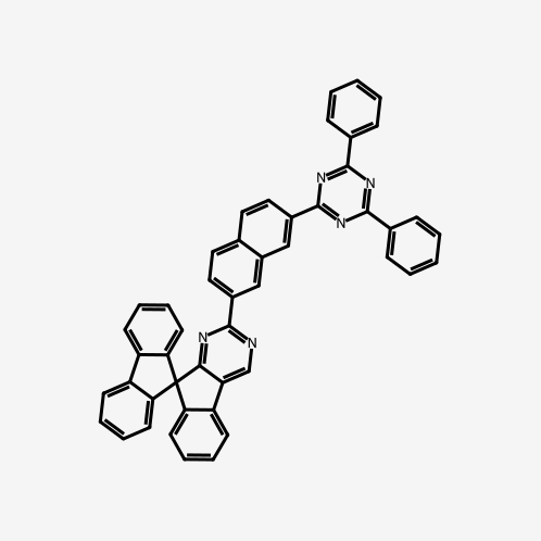 c1ccc(-c2nc(-c3ccccc3)nc(-c3ccc4ccc(-c5ncc6c(n5)C5(c7ccccc7-c7ccccc75)c5ccccc5-6)cc4c3)n2)cc1